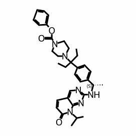 CCC(CC)(c1ccc([C@H](C)Nc2ncc3ccc(=O)n(C(C)C)c3n2)cc1)N1CCN(C(=O)Oc2ccccc2)CC1